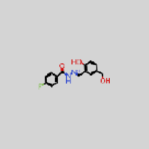 O=C(N/N=C/c1cc(CO)ccc1O)c1ccc(F)cc1